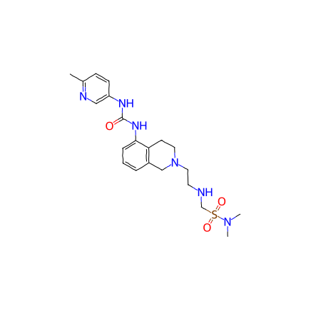 Cc1ccc(NC(=O)Nc2cccc3c2CCN(CCNCS(=O)(=O)N(C)C)C3)cn1